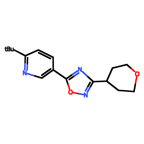 CC(C)(C)c1ccc(-c2nc(C3CCOCC3)no2)cn1